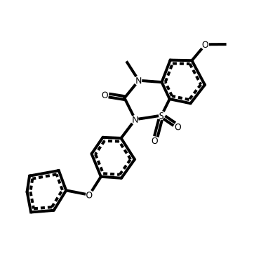 COc1ccc2c(c1)N(C)C(=O)N(c1ccc(Oc3ccccc3)cc1)S2(=O)=O